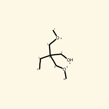 CCC(CO)(COC)COC